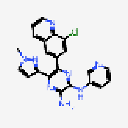 Cn1ccc(-c2nc(N)c(Nc3cccnc3)nc2-c2cc(Cl)c3ncccc3c2)n1